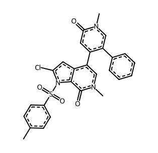 Cc1ccc(S(=O)(=O)n2c(Cl)cc3c(-c4cc(=O)n(C)cc4-c4ccccc4)cn(C)c(=O)c32)cc1